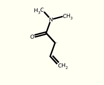 C=C[CH]C(=O)N(C)C